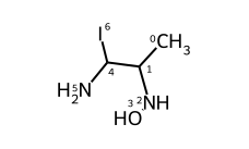 CC(NO)C(N)I